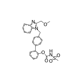 COCc1nc2ccccc2n1Cc1ccc(-c2ccccc2OC(=O)NS(C)(=O)=O)cc1